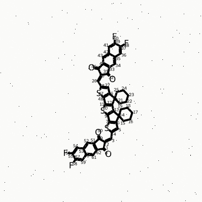 O=C1C(=Cc2cc3c(s2)-c2sc4c(c2C32CCCCC2)C2(CCCCC2)c2cc(C=C3C(=O)c5cc6cc(F)c(F)cc6cc5C3=O)sc2-4)C(=O)c2cc3cc(F)c(F)cc3cc21